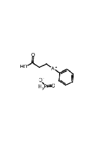 O=C(O)C[CH2][Al+][c]1ccccc1.O=[PH2][O-]